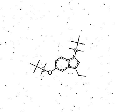 CCc1cn([Si](C)(C)C(C)(C)C)c2ccc(O[Si](C)(C)C(C)(C)C)cc12